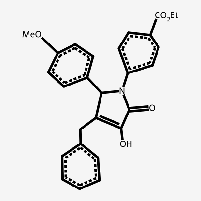 CCOC(=O)c1ccc(N2C(=O)C(O)=C(Cc3ccccc3)C2c2ccc(OC)cc2)cc1